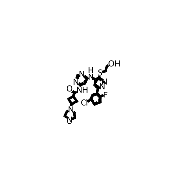 CN1CCN(C2CC(C(=O)Nc3cc(Nc4cc(-c5cc(Cl)ccc5F)nnc4SCCO)ncn3)C2)CC1